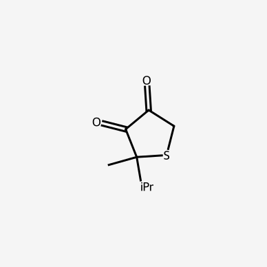 CC(C)C1(C)SCC(=O)C1=O